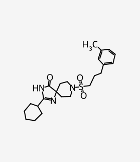 Cc1cccc(CCCS(=O)(=O)N2CCC3(CC2)N=C(C2CCCCC2)NC3=O)c1